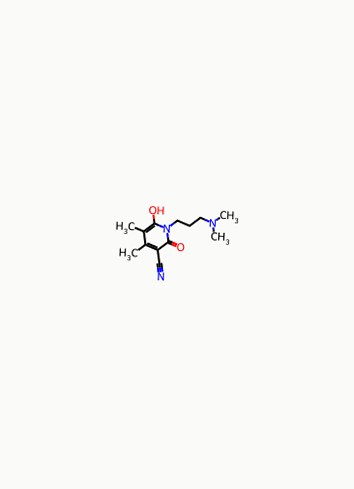 Cc1c(C)c(O)n(CCCN(C)C)c(=O)c1C#N